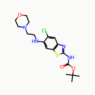 CC(C)(C)OC(=O)Nc1nc2cc(Cl)c(NCCN3CCOCC3)cc2s1